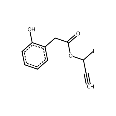 C#CC(I)OC(=O)Cc1ccccc1O